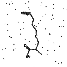 CCCCCCCCCCCCC(C)C(=O)C(C)C